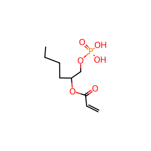 C=CC(=O)OC(CCCC)COP(=O)(O)O